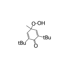 CC1(OO)C=C(C(C)(C)C)C(=O)C(C(C)(C)C)=C1